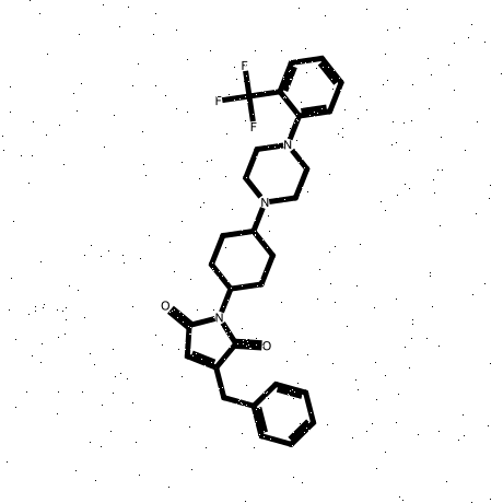 O=C1C=C(Cc2ccccc2)C(=O)N1C1CCC(N2CCN(c3ccccc3C(F)(F)F)CC2)CC1